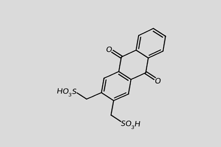 O=C1c2ccccc2C(=O)c2cc(CS(=O)(=O)O)c(CS(=O)(=O)O)cc21